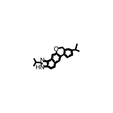 CC(C)c1ccc2c(c1)COc1cc3c(ccc4[nH]c(C(C)C)nc43)cc1-2